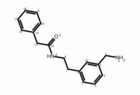 NCc1cccc(CCNC(=O)Cc2ccccc2)c1